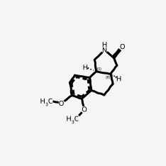 COc1ccc2c(c1OC)CC[C@@H]1CC(=O)NC[C@H]21